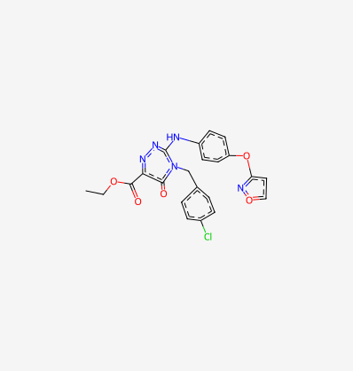 CCOC(=O)c1nnc(Nc2ccc(Oc3ccon3)cc2)n(Cc2ccc(Cl)cc2)c1=O